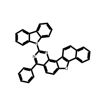 c1ccc(-c2nc(-n3c4ccccc4c4ccccc43)nc3c2ccc2oc4c5ccccc5ccc4c23)cc1